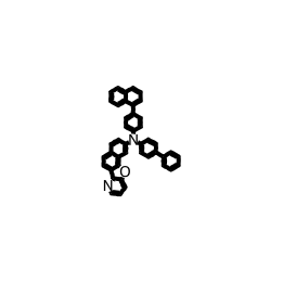 c1ccc(-c2ccc(N(c3ccc(-c4cccc5ccccc45)cc3)c3ccc4ccc5c6ncccc6oc5c4c3)cc2)cc1